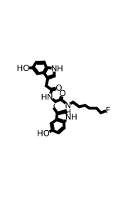 O=C(Cc1c[nH]c2ccc(O)cc12)N[C@@H](Cc1c[nH]c2ccc(O)cc12)C(=O)NCCCCCCF